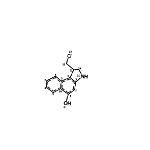 Oc1cc2c(c3ccccc13)C(CCl)CN2